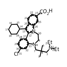 CCN(CC)CC(C)(C)CN1CCn2c(c(C3CCCCC3)c3ccc(C(=O)O)cc32)-c2ccc(Cl)cc21